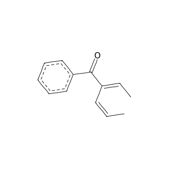 C/C=C\C(=C/C)C(=O)c1ccccc1